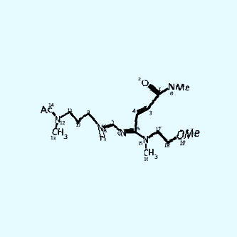 CNC(=O)/C=C/C(=N\CNCCCN(C)C(C)=O)N(C)CCOC